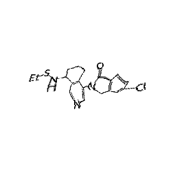 CCSNC1CCCc2c1cncc2N1Cc2cc(Cl)ccc2C1=O